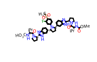 COC(=O)N[C@H](C(=O)N1CCCC1c1nc2ccc([C@H]3CC[C@H](c4ccc5nc([C@@H]6CCCN6C(=O)[C@@H](NC(=O)O)C(C)C)[nH]c5c4)N3c3ccc(S(C)(=O)=O)c(F)c3)cc2[nH]1)C(C)C